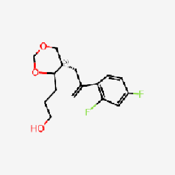 C=C(C[C@H]1COCOC1CCCO)c1ccc(F)cc1F